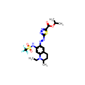 CCN1c2cc(NS(=O)(=O)C(F)(F)F)c(N=Nc3nnc(C(=O)OC(C)C)s3)cc2CCC1C